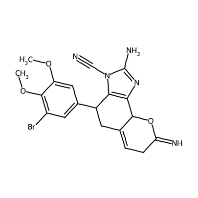 COc1cc(C2CC3=CCC(=N)OC3c3nc(N)n(C#N)c32)cc(Br)c1OC